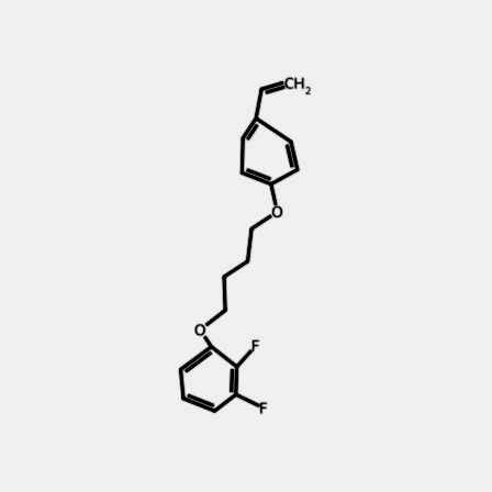 C=Cc1ccc(OCCCCOc2cccc(F)c2F)cc1